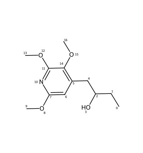 CCC(O)Cc1cc(OC)nc(OC)c1OC